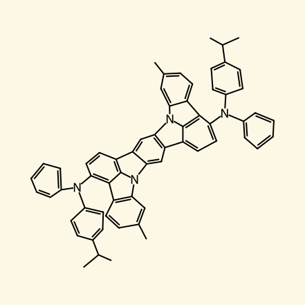 Cc1ccc2c3c(N(c4ccccc4)c4ccc(C(C)C)cc4)ccc4c5cc6c(cc5n(c2c1)c43)c1ccc(N(c2ccccc2)c2ccc(C(C)C)cc2)c2c3ccc(C)cc3n6c12